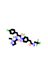 CCn1nccc1C(=O)NC(Cc1ccc(F)cc1)C(=O)Nc1ccc(CC(=O)N(C)CC(F)(F)F)cc1F